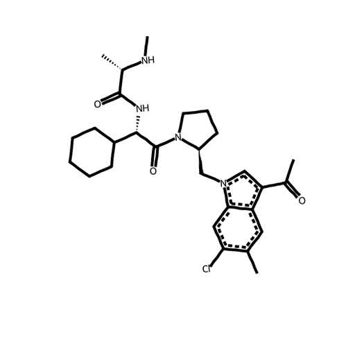 CN[C@@H](C)C(=O)N[C@H](C(=O)N1CCC[C@H]1Cn1cc(C(C)=O)c2cc(C)c(Cl)cc21)C1CCCCC1